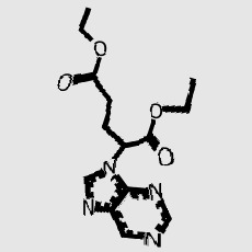 CCOC(=O)CCC(C(=O)OCC)n1cnc2cncnc21